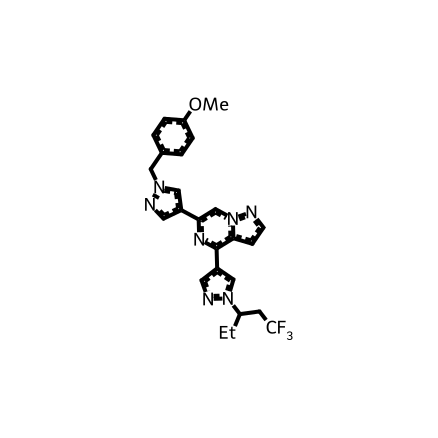 CCC(CC(F)(F)F)n1cc(-c2nc(-c3cnn(Cc4ccc(OC)cc4)c3)cn3nccc23)cn1